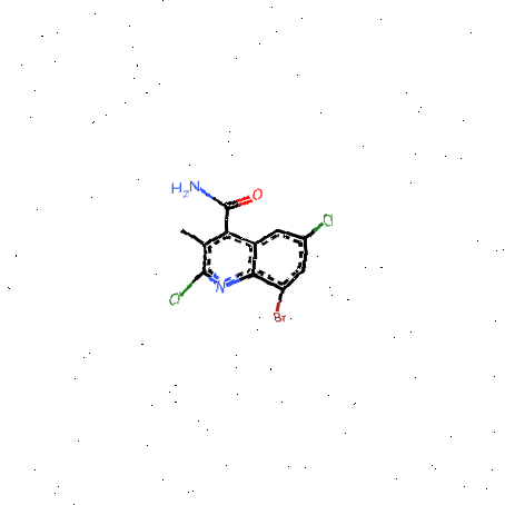 Cc1c(Cl)nc2c(Br)cc(Cl)cc2c1C(N)=O